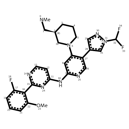 CNC[C@H]1CCCN(c2cc(Nc3ccnc(-c4c(F)cccc4OC)n3)ncc2-c2cnn(C(F)F)c2)C1